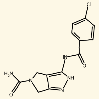 NC(=O)N1Cc2n[nH]c(NC(=O)c3ccc(Cl)cc3)c2C1